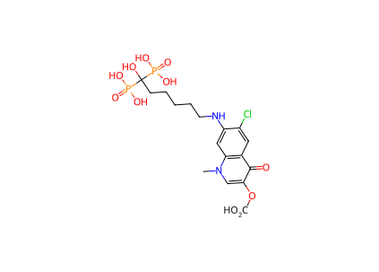 Cn1cc(OC(=O)O)c(=O)c2cc(Cl)c(NCCCCCC(O)(P(=O)(O)O)P(=O)(O)O)cc21